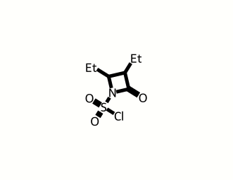 CCC1C(=O)N(S(=O)(=O)Cl)C1CC